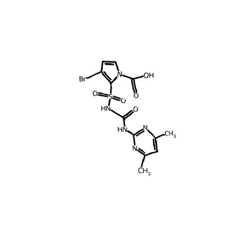 Cc1cc(C)nc(NC(=O)NS(=O)(=O)c2c(Br)ccn2C(=O)O)n1